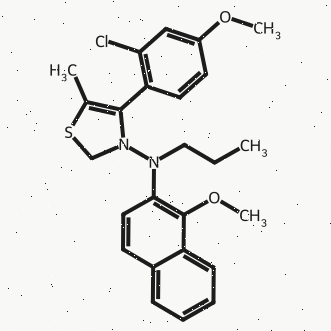 CCCN(c1ccc2ccccc2c1OC)N1CSC(C)=C1c1ccc(OC)cc1Cl